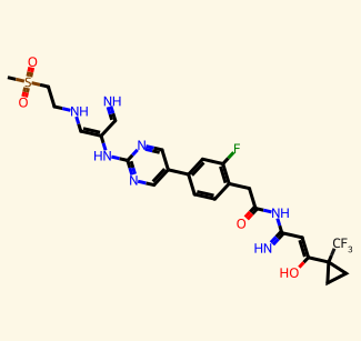 CS(=O)(=O)CCN/C=C(\C=N)Nc1ncc(-c2ccc(CC(=O)NC(=N)/C=C(\O)C3(C(F)(F)F)CC3)c(F)c2)cn1